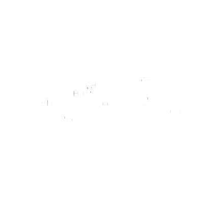 CCCCCC(CCCCC)CC(=O)OCCCCCCCCC(CCCCCCCCOC(=O)CC(CCCCC)CCCCC)OC(=O)CCCN(C)C